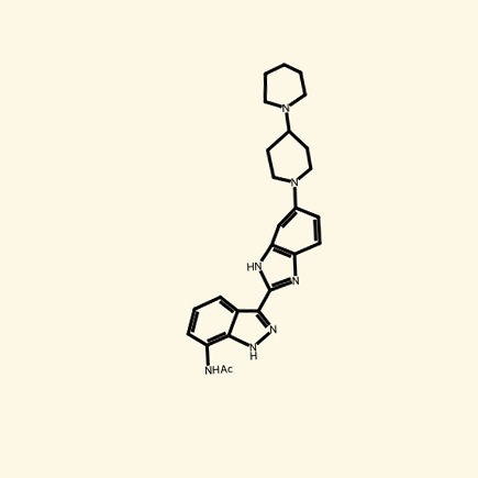 CC(=O)Nc1cccc2c(-c3nc4ccc(N5CCC(N6CCCCC6)CC5)cc4[nH]3)n[nH]c12